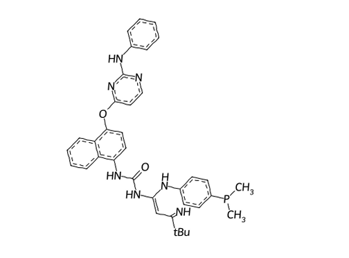 CP(C)c1ccc(N/C(=C\C(=N)C(C)(C)C)NC(=O)Nc2ccc(Oc3ccnc(Nc4ccccc4)n3)c3ccccc23)cc1